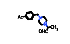 CC(=O)c1ccc(CN2CCN(C(C)C=O)CC2)cc1